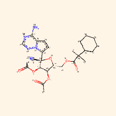 CC(=O)O[C@H]1[C@@H](OC(C)=O)[C@](C#N)(c2ccc3c(N)ncnn23)O[C@@H]1COC(=O)C(C)(C)C1CCCCC1